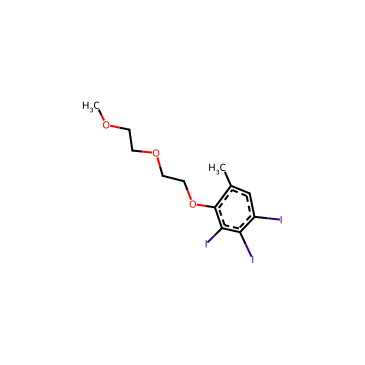 COCCOCCOc1c(C)cc(I)c(I)c1I